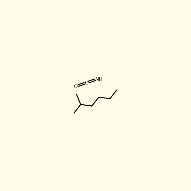 CCCCC(C)C.N=C=O